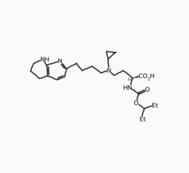 CCC(CC)OC(=O)N[C@@H](CCN(CCCCc1ccc2c(n1)NCCC2)C1CC1)C(=O)O